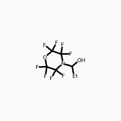 CCC(O)N1C(F)(F)C(F)(F)OC(F)(F)C1(F)F